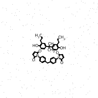 C=CCc1cc(C(C)(C)c2ccc(O)c(CC=C)c2)ccc1O.O=C1C=CC(=O)N1c1ccc(Cc2ccc(N3C(=O)C=CC3=O)cc2)cc1